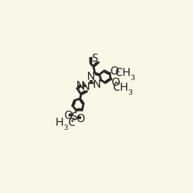 COc1cc2nc(-n3cc(-c4ccc(S(C)(=O)=O)cc4)cn3)nc(-c3ccsc3)c2cc1OC